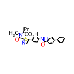 CC(C)C(C(=O)O)N(C)C(=O)c1ncc(-c2ccc(NC(=O)c3ccc(-c4ccccc4)cc3)cc2)s1